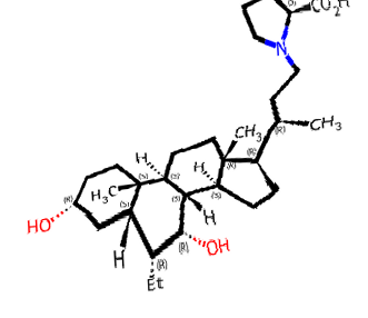 CC[C@H]1[C@@H](O)[C@@H]2[C@H](CC[C@]3(C)[C@@H]([C@H](C)CCN4CCC[C@H]4C(=O)O)CC[C@@H]23)[C@@]2(C)CC[C@@H](O)C[C@@H]12